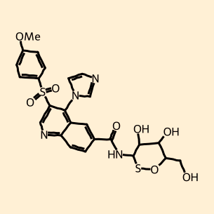 COc1ccc(S(=O)(=O)c2cnc3ccc(C(=O)NC4SOC(CO)C(O)C4O)cc3c2-n2ccnc2)cc1